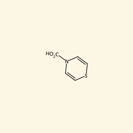 O=C(O)N1C=CSC=C1